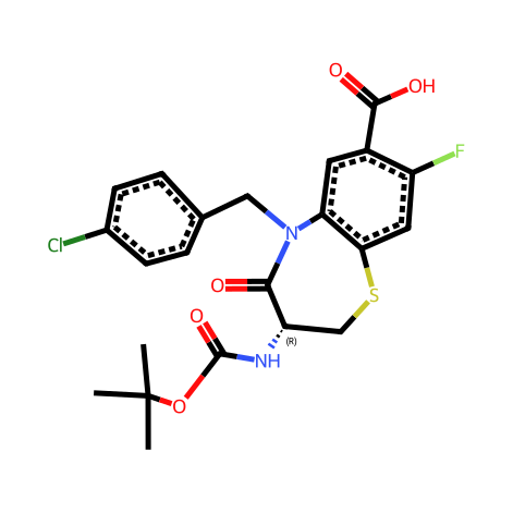 CC(C)(C)OC(=O)N[C@H]1CSc2cc(F)c(C(=O)O)cc2N(Cc2ccc(Cl)cc2)C1=O